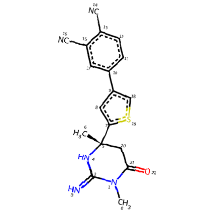 CN1C(=N)N[C@](C)(c2cc(-c3ccc(C#N)c(C#N)c3)cs2)CC1=O